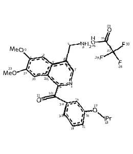 COc1cc2c(CN)cnc(C(=O)c3cccc(OC(C)C)c3)c2cc1OC.O=C(O)C(F)(F)F